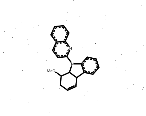 COC1CC=CC2c3ccccc3N(c3ccc4ccccc4n3)C12